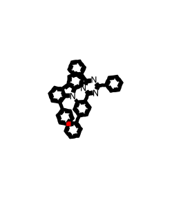 c1ccc(-c2ccc(-c3nc(-c4ccccc4)nc(-c4ccccc4)n3)c(-n3c4ccccc4c4cccc(-c5ccccc5)c43)c2)cc1